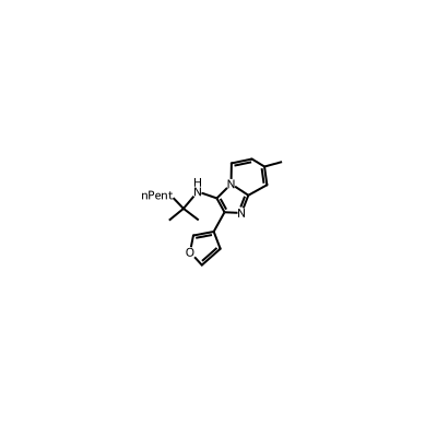 CCCCCC(C)(C)Nc1c(-c2ccoc2)nc2cc(C)ccn12